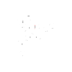 c1ccc(C2(c3ccccc3)c3ccccc3-c3ccc(N(c4ccc(-c5cccc6c5oc5ccccc56)cc4)c4ccccc4-c4cccc5oc6c7ccccc7ccc6c45)cc32)cc1